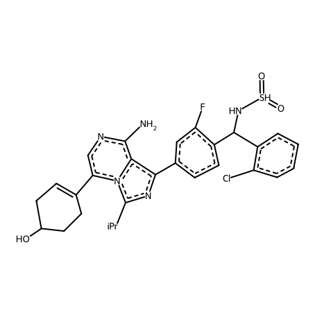 CC(C)c1nc(-c2ccc(C(N[SH](=O)=O)c3ccccc3Cl)c(F)c2)c2c(N)ncc(C3=CCC(O)CC3)n12